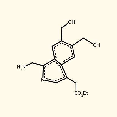 CCOC(=O)Cc1cnc(CN)c2cc(CO)c(CO)cc12